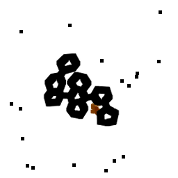 c1ccc(-c2ccc3cccc(-c4c5ccccc5c(-c5cccc6c5sc5ccccc56)c5ccccc45)c3c2)cc1